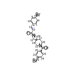 O=C(/C=C/c1ccc(Br)cc1)N1CC2(CCN(C(=O)c3ccc(Br)cc3)CC2)C1